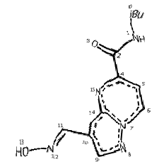 CCC(C)NC(=O)c1ccn2ncc(C=NO)c2n1